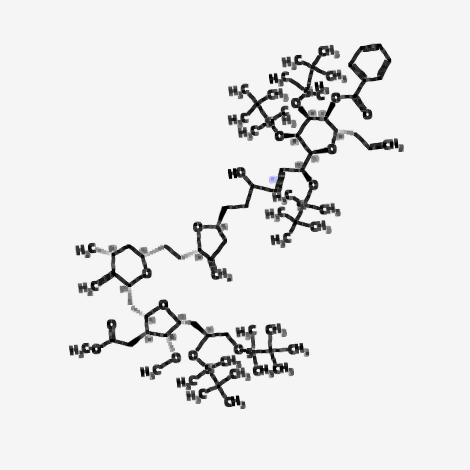 C=CC[C@@H]1O[C@@H]([C@H](/C=C/C(O)CC[C@H]2CC(=C)[C@H](CC[C@H]3C[C@@H](C)C(=C)[C@@H](C[C@@H]4O[C@H](C[C@@H](CO[Si](C)(C)C(C)(C)C)O[Si](C)(C)C(C)(C)C)[C@H](OC)[C@H]4CC(=O)OC)O3)O2)O[Si](C)(C)C(C)(C)C)[C@@H](O[Si](C)(C)C(C)(C)C)[C@@H](O[Si](C)(C)C(C)(C)C)[C@H]1OC(=O)c1ccccc1